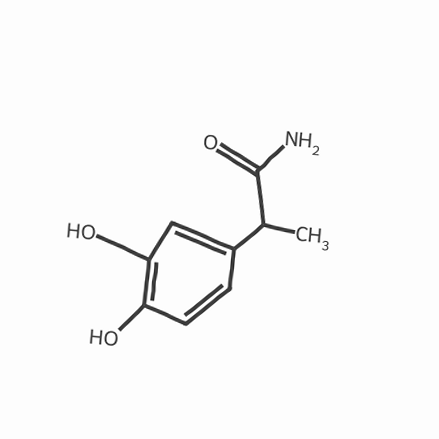 CC(C(N)=O)c1ccc(O)c(O)c1